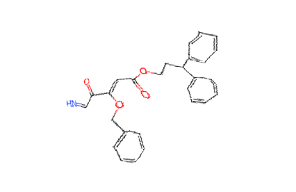 N=CC(=O)/C(=C/C(=O)OCCC(c1ccccc1)c1ccccc1)OCc1ccccc1